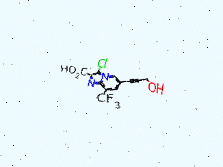 O=C(O)c1nc2c(C(F)(F)F)cc(C#CCO)cn2c1Cl